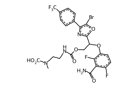 CN(CCNC(=O)OCC(Oc1ccc(F)c(C(N)=O)c1F)c1nc(-c2ccc(C(F)(F)F)cc2)c(Br)o1)C(=O)O